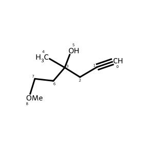 C#CCC(C)(O)CCOC